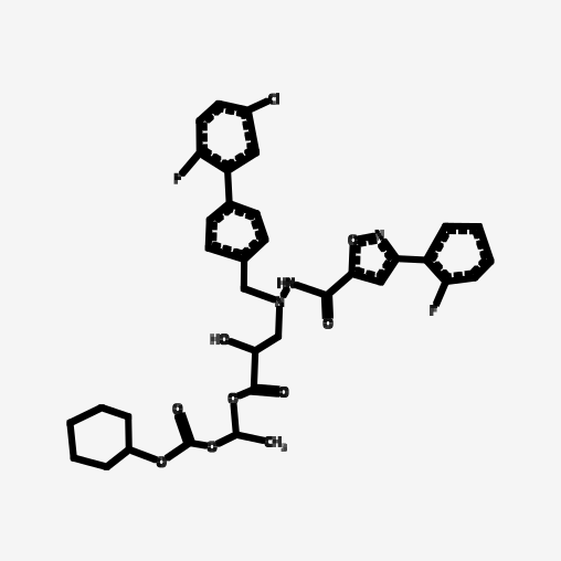 CC(OC(=O)OC1CCCCC1)OC(=O)C(O)CN(Cc1ccc(-c2cc(Cl)ccc2F)cc1)NC(=O)c1cc(-c2ccccc2F)no1